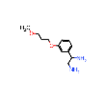 COCCCOc1cccc(C(N)CN)c1